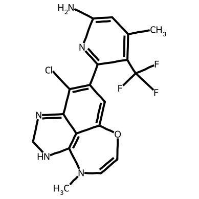 Cc1cc(N)nc(-c2cc3c4c(c2Cl)=NCNC=4N(C)C=CO3)c1C(F)(F)F